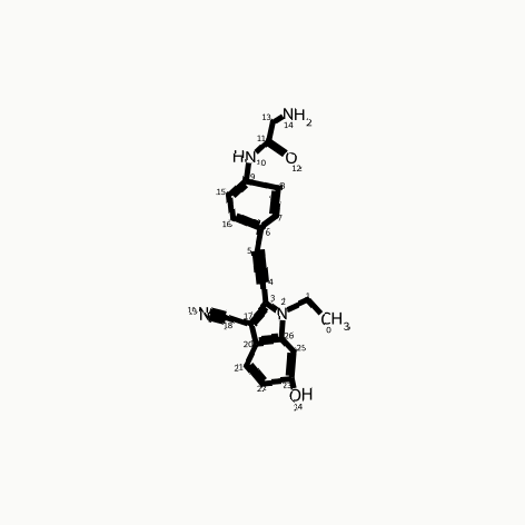 CCn1c(C#Cc2ccc(NC(=O)CN)cc2)c(C#N)c2ccc(O)cc21